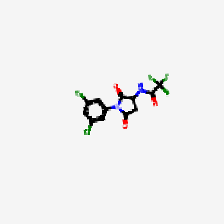 O=C1CC(NC(=O)C(F)(F)F)C(=O)N1c1cc(Cl)cc(Cl)c1